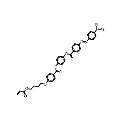 C=CC(=O)OCCCCOc1ccc(C(=O)Oc2ccc(OC(=O)c3ccc(N=Nc4ccc(N(CC)CC)cc4)cc3)cc2)cc1